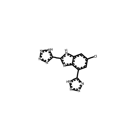 Clc1cc(-c2nnn[nH]2)c2nc(-c3nnn[nH]3)[nH]c2c1